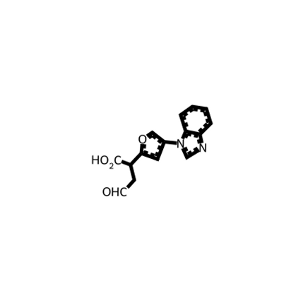 O=CCC(C(=O)O)c1cc(-n2cnc3ccccc32)co1